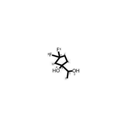 CC(O)C1(O)CCC(F)(F)C1